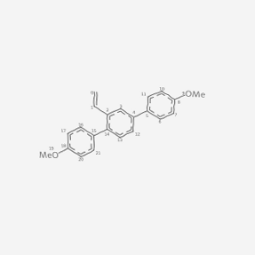 C=Cc1cc(-c2ccc(OC)cc2)ccc1-c1ccc(OC)cc1